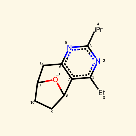 CCc1nc(C(C)C)nc2c1C1CCC(C2)O1